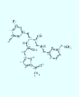 CCc1cccc(CNC[C@H](O)[C@H](Cc2cc(F)cc(F)c2)NC(=O)Cc2ccc(C(C)=O)s2)c1